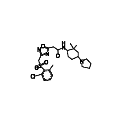 Cc1cccc(Cl)c1S(=O)(=O)Cc1noc(CC(=O)NC2CCC(N3CCCC3)CC2(C)C)n1